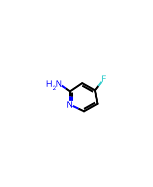 Nc1cc(F)ccn1